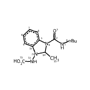 CCCCNC(=O)N1c2ccccc2N(NC(=O)O)C1C